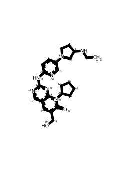 CCNC1CCN(c2ccc(Nc3ncc4cc(CO)c(=O)n(C5CCCC5)c4n3)nc2)C1